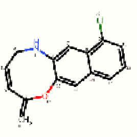 C=C1/C=C\CNc2cc3c(Cl)cccc3cc2O1